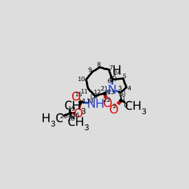 CC(=O)[C@@H]1CC[C@@H]2CCCCC[C@H](NC(=O)OC(C)(C)C)C(=O)N21